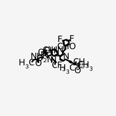 CC(N)C(=O)OCN(c1nn(CC(F)(F)F)c2c(-c3ccc(C#CC(C)(C)[S+](C)[O-])nc3C(Cc3cc(F)cc(F)c3)NC=O)ccc(Cl)c12)[S+](C)[O-]